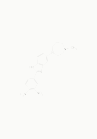 CN1CCCN(c2ccc3[nH]c(-c4ccc(N)c([N+](=O)[O-])c4)nc3c2)CC1